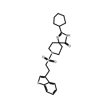 O=C1NC(C2CCCCC2)=NC12CCN(S(=O)(=O)CCc1csc3ccccc13)CC2